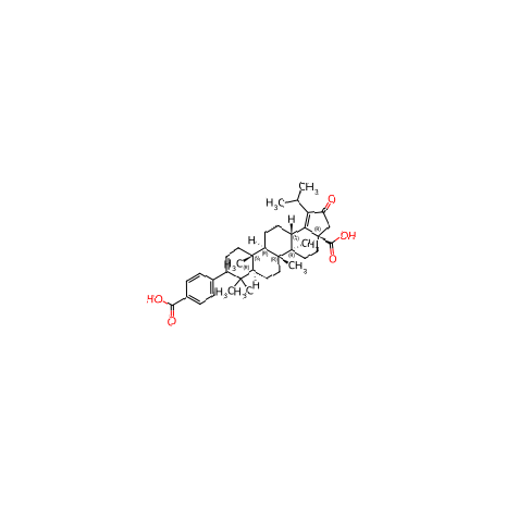 CC(C)C1=C2[C@H]3CC[C@@H]4[C@@]5(C)CC=C(c6ccc(C(=O)O)cc6)C(C)(C)[C@@H]5CC[C@@]4(C)[C@]3(C)CC[C@@]2(C(=O)O)CC1=O